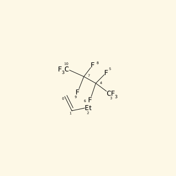 C=CCC.FC(F)(F)C(F)(F)C(F)(F)C(F)(F)F